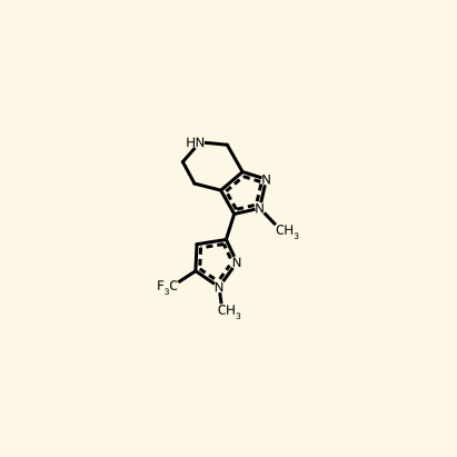 Cn1nc(-c2c3c(nn2C)CNCC3)cc1C(F)(F)F